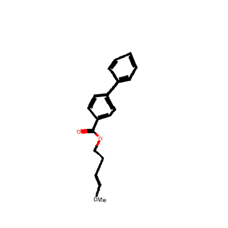 COCCCCOC(=O)c1ccc(-c2ccccc2)cc1